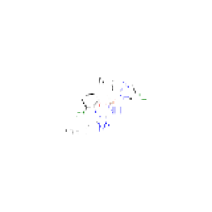 COCc1nnc(NS(=O)(=O)C(C)C(OC)c2ncc(Cl)cn2)n1-c1ccccc1Cl